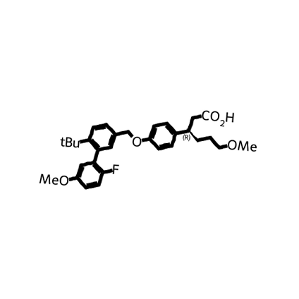 COCCC[C@H](CC(=O)O)c1ccc(OCc2ccc(C(C)(C)C)c(-c3cc(OC)ccc3F)c2)cc1